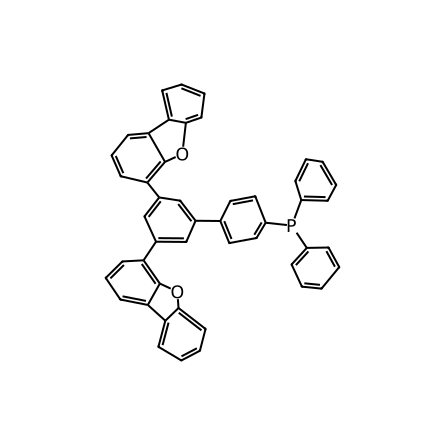 c1ccc(P(c2ccccc2)c2ccc(-c3cc(-c4cccc5c4oc4ccccc45)cc(-c4cccc5c4oc4ccccc45)c3)cc2)cc1